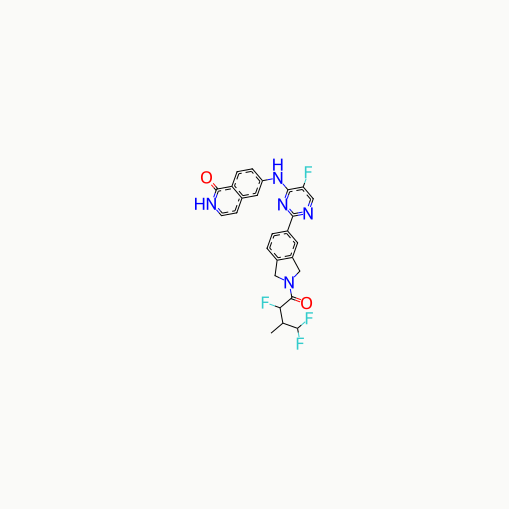 CC(C(F)F)C(F)C(=O)N1Cc2ccc(-c3ncc(F)c(Nc4ccc5c(=O)[nH]ccc5c4)n3)cc2C1